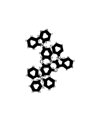 c1ccc(-n2c3c(c4ccccc42)Oc2cc([Si](c4ccccc4)(c4ccccc4)c4ccccc4)cc4c2B3c2ccc(-n3c5ccccc5c5ccccc53)cc2O4)cc1